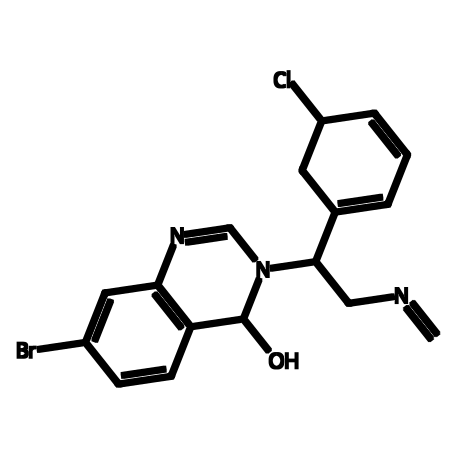 C=NCC(C1=CC=CC(Cl)C1)N1C=Nc2cc(Br)ccc2C1O